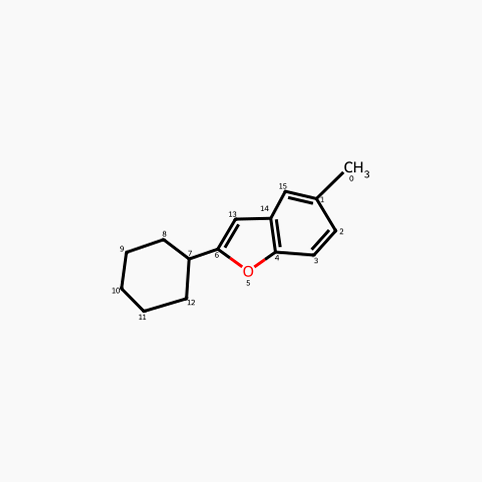 Cc1ccc2oc(C3CCCCC3)cc2c1